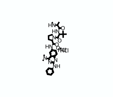 CNC(C)C(=O)NC(C(=O)N1CCCC1C(=O)Nc1cc2c(N(C)C)nc(Nc3ccccc3)nc2cc1OC)C(C)(C)C.Cl.Cl